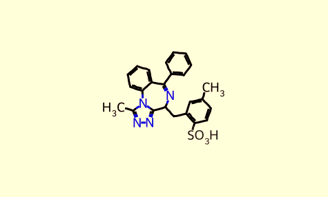 Cc1ccc(S(=O)(=O)O)c(CC2N=C(c3ccccc3)c3ccccc3-n3c(C)nnc32)c1